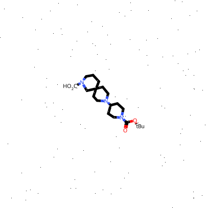 CC(C)(C)OC(=O)N1CCC(N2CCC3(CCCN(C(=O)O)C3)CC2)CC1